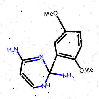 COc1ccc(OC)c(C2(N)N=C(N)C=CN2)c1